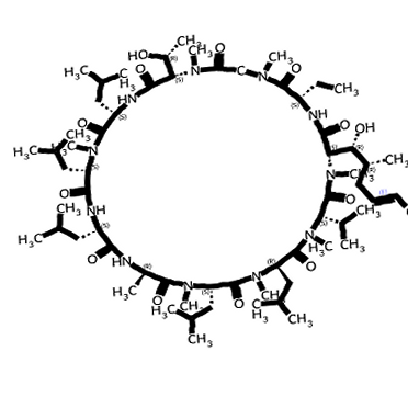 C/C=C/C[C@@H](C)[C@@H](O)[C@H]1C(=O)N[C@@H](CC)C(=O)N(C)CC(=O)N(C)[C@@H]([C@@H](C)O)C(=O)N[C@@H](CC(C)C)C(=O)N(C)[C@@H](CC(C)C)C(=O)N[C@@H](CC(C)C)C(=O)N[C@H](C)C(=O)N(C)[C@@H](CC(C)C)C(=O)N(C)[C@H](CC(C)C)C(=O)N(C)[C@@H](C(C)C)C(=O)N1C